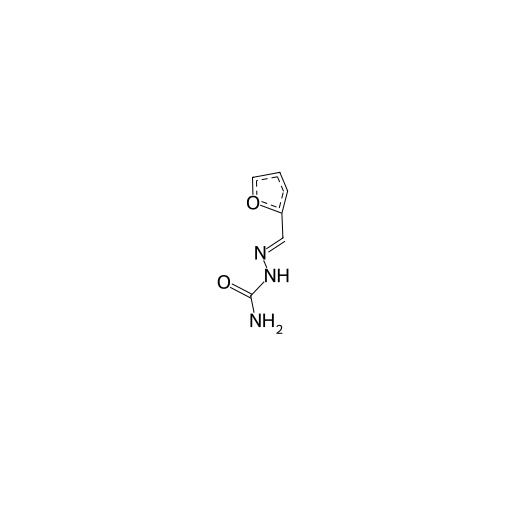 NC(=O)NN=Cc1ccco1